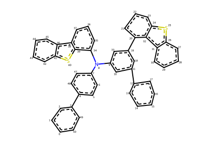 c1ccc(-c2ccc(N(c3cc(-c4ccccc4)cc(-c4cccc5sc6ccccc6c45)c3)c3cccc4c3sc3ccccc34)cc2)cc1